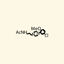 COc1ccc(Cl)cc1N1CCN(CCCNC(C)=O)CC1